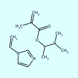 C=C(C)C(=O)OC(C)N(C)C.C=Cn1ccnc1